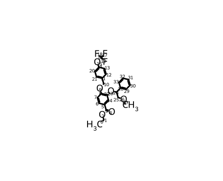 CCOC(=O)c1ccc(OCc2ccc(OC(F)(F)F)cc2)c(OC(COC)c2ccccc2)c1